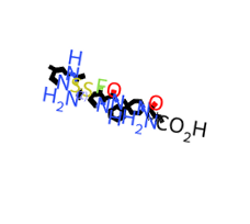 C=C(Nc1cc(C)ccn1)S/C(=C\N)Sc1ccnc(C(=O)NCC2(c3ccccc3)CCN(C(=O)[C@@H](N)CC(=O)O)CC2)c1F